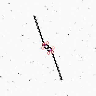 CCCCCCCCCCCCCCCCCCOP1C(=O)CC2(CC1=O)CC(=O)P(OCCCCCCCCCCCCCCCCCC)C(=O)C2